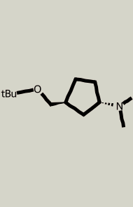 CN(C)[C@H]1CC[C@H](COC(C)(C)C)C1